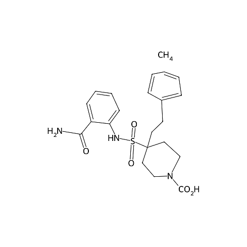 C.NC(=O)c1ccccc1NS(=O)(=O)C1(CCc2ccccc2)CCN(C(=O)O)CC1